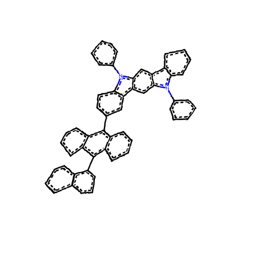 c1ccc(-n2c3ccccc3c3cc4c(cc32)c2cc(-c3c5ccccc5c(-c5cccc6ccccc56)c5ccccc35)ccc2n4-c2ccccc2)cc1